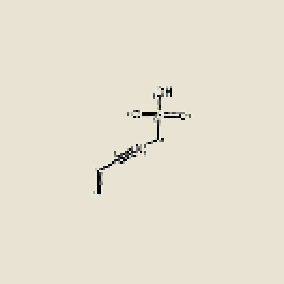 C=CC#[N+]CS(=O)(=O)O